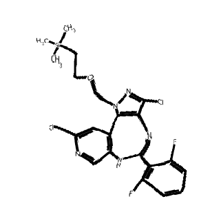 C[Si](C)(C)CCOCn1nc(Cl)c2c1-c1cc(Cl)ncc1NC(c1c(F)cccc1F)=N2